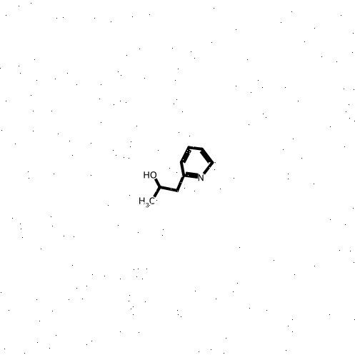 CC(O)Cc1ccc[c]n1